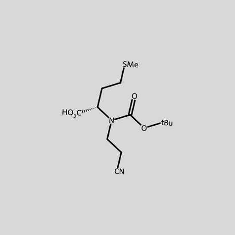 CSCC[C@@H](C(=O)O)N(CCC#N)C(=O)OC(C)(C)C